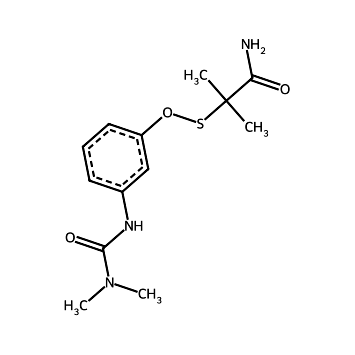 CN(C)C(=O)Nc1cccc(OSC(C)(C)C(N)=O)c1